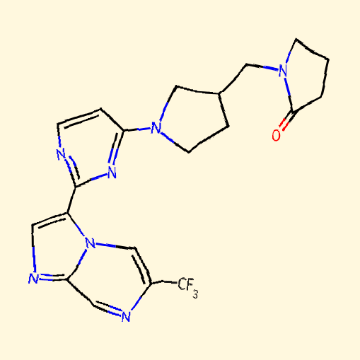 O=C1CCCN1CC1CCN(c2ccnc(-c3cnc4cnc(C(F)(F)F)cn34)n2)C1